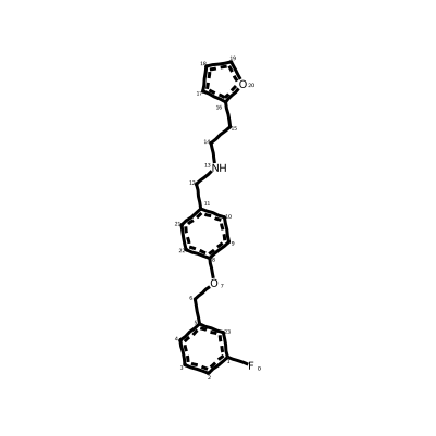 Fc1cccc(COc2ccc(CNCCc3ccco3)cc2)c1